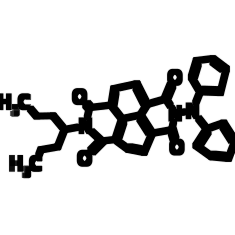 CCCC(CCC)N1C(=O)c2ccc3c4c(ccc(c24)C1=O)C(=O)N(N(c1ccccc1)c1ccccc1)C3=O